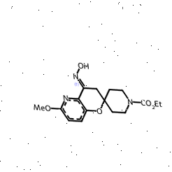 CCOC(=O)N1CCC2(CC1)C/C(=N\O)c1nc(OC)ccc1O2